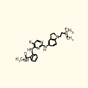 CNC(=O)C1C2C=CC(C2)C1Nc1nc(Nc2ccc3c(c2)CCN3CCN(C)C)ncc1F